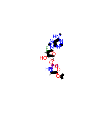 CNc1ncnc2c1ncn2[C@@H]1O[C@H](CO[PH](=O)N[C@@H](C)C(=O)OC(C)C)[C@@H](O)[C@@]1(C)F